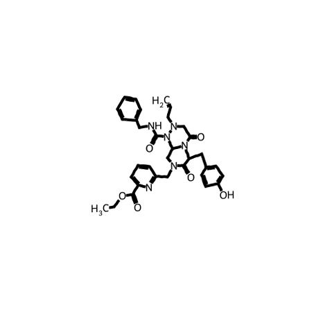 C=CCN1CC(=O)N2C(Cc3ccc(O)cc3)C(=O)N(Cc3cccc(C(=O)OCC)n3)CC2N1C(=O)NCc1ccccc1